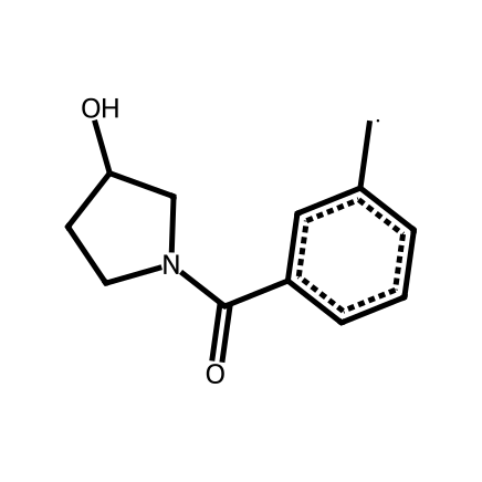 [CH2]c1cccc(C(=O)N2CCC(O)C2)c1